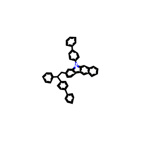 c1ccc(-c2ccc(C(Cc3ccc4c5cc6ccccc6cc5n(-c5ccc(-c6ccccc6)cc5)c4c3)c3ccccc3)cc2)cc1